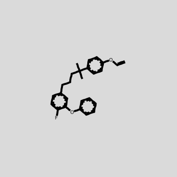 C=COc1ccc(C(C)(C)CCCc2ccc(F)c(Oc3ccccc3)c2)cc1